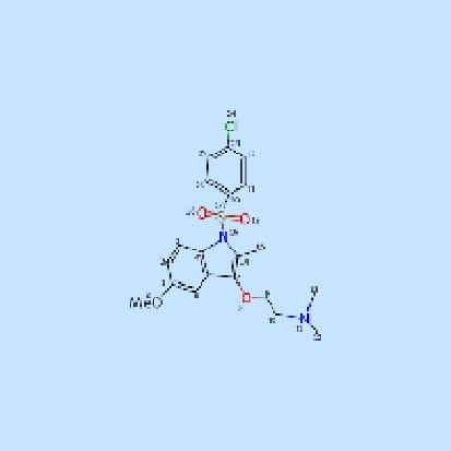 COc1ccc2c(c1)c(OCCN(C)C)c(C)n2S(=O)(=O)c1ccc(Cl)cc1